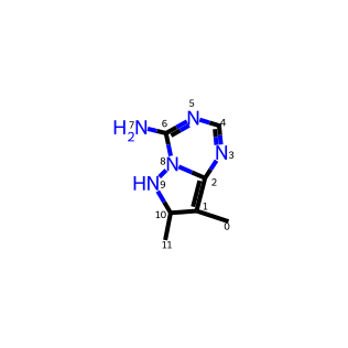 CC1=C2N=CN=C(N)N2NC1C